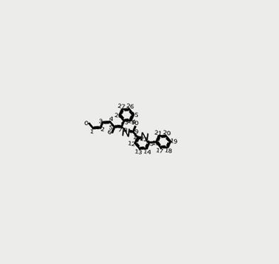 C\C=C/C=C\C(C)=C(\N=C(/C)c1cccc(-c2ccccc2)n1)c1ccccc1